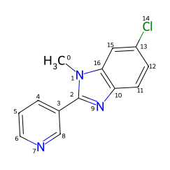 Cn1c(-c2cccnc2)nc2ccc(Cl)cc21